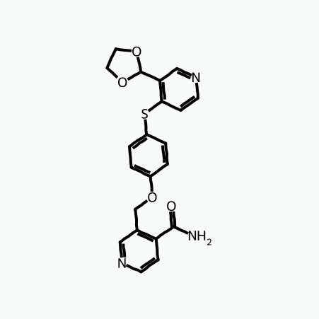 NC(=O)c1ccncc1COc1ccc(Sc2ccncc2C2OCCO2)cc1